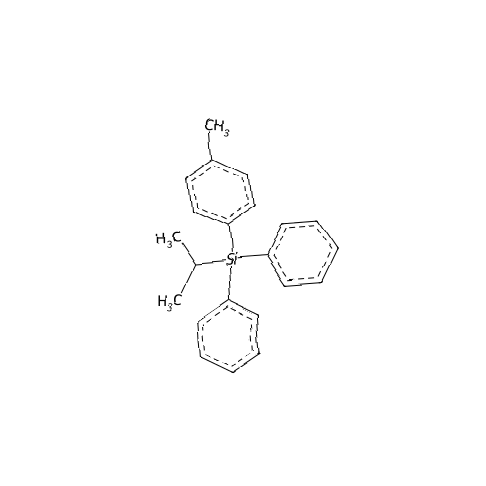 Cc1ccc([Si](c2ccccc2)(c2ccccc2)C(C)C)cc1